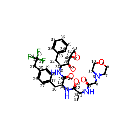 C[C@H](NC(=O)CN1CCOCC1)C(=O)N[C@@H](Cc1ccc(CC(F)(F)F)cc1)C(=O)N[C@@H](Cc1ccccc1)C(=O)[C@@]1(C)CO1